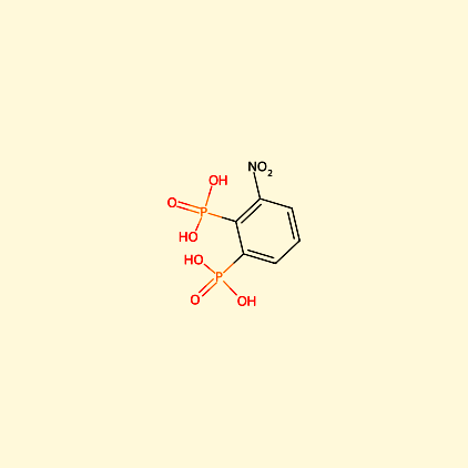 O=[N+]([O-])c1cccc(P(=O)(O)O)c1P(=O)(O)O